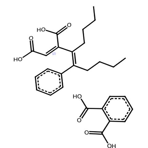 CCCCC(=C(CCCC)c1ccccc1)/C(=C/C(=O)O)C(=O)O.O=C(O)c1ccccc1C(=O)O